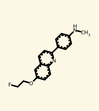 CNc1ccc(-c2ccc3cc(OCCF)ccc3n2)cc1